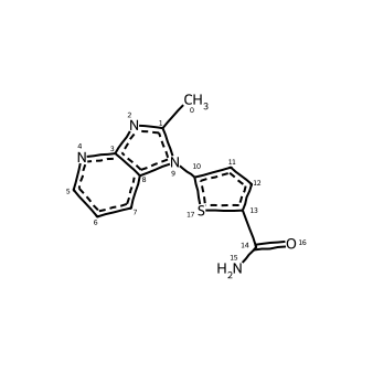 Cc1nc2ncccc2n1-c1ccc(C(N)=O)s1